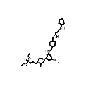 CCOP(=O)(CCCN1CCN(c2cc(N)nc(NCC3CCC(CNCCCNC4CCCCC4)CC3)n2)CC1C)OCC